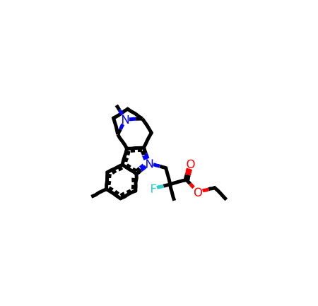 CCOC(=O)C(C)(F)Cn1c2c(c3cc(C)ccc31)C1CCC(C2)N1C